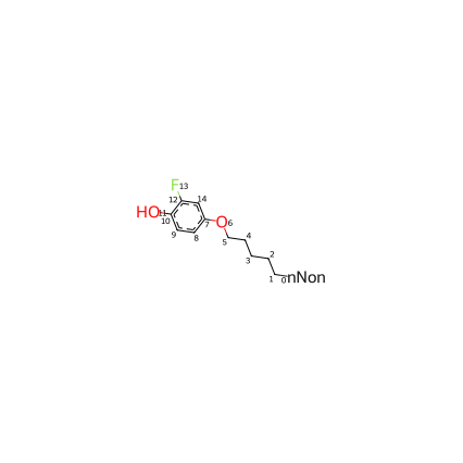 CCCCCCCCCCCCCCOc1ccc(O)c(F)c1